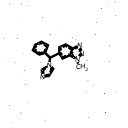 Cn1nnc2ccc(C(c3ccccc3)n3ccnc3)cc21